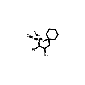 CCC(CC1(N=C=O)CCCCC1)C(CC)N=C=O